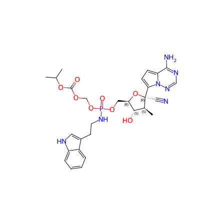 CC(C)OC(=O)OCOP(=O)(NCCc1c[nH]c2ccccc12)OC[C@H]1O[C@@](C#N)(c2ccc3c(N)ncnn23)[C@@H](C)[C@@H]1O